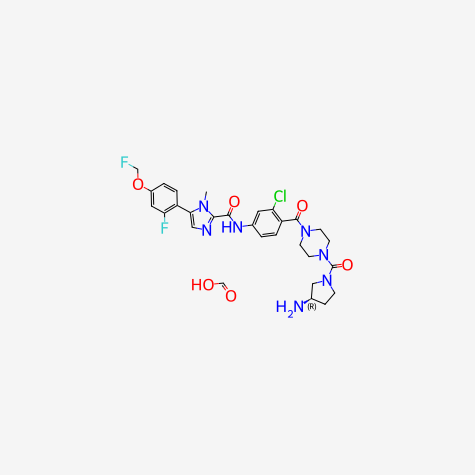 Cn1c(-c2ccc(OCF)cc2F)cnc1C(=O)Nc1ccc(C(=O)N2CCN(C(=O)N3CC[C@@H](N)C3)CC2)c(Cl)c1.O=CO